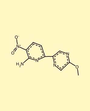 COc1cnc(-c2ccc([N+](=O)[O-])c(N)n2)cn1